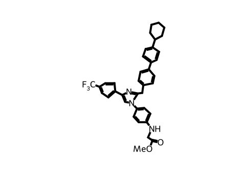 COC(=O)CNc1ccc(-n2cc(-c3ccc(C(F)(F)F)cc3)nc2Cc2ccc(-c3ccc(C4CCCCC4)cc3)cc2)cc1